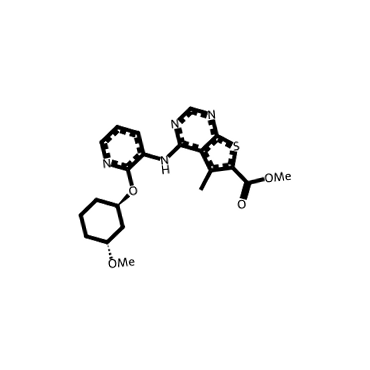 COC(=O)c1sc2ncnc(Nc3cccnc3O[C@@H]3CCC[C@@H](OC)C3)c2c1C